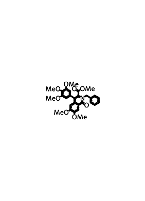 COC(=O)c1c(-c2cc(OC)c(OC)c(OC)c2)c2cc(OC)c(OC)cc2c(=O)n1Cc1ccccc1